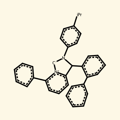 CC(C)c1ccc(N2[CH-][n+]3c(-c4ccccc4)cccc3C2c2ccccc2-c2ccccc2)cc1